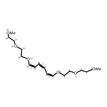 COCCOCCO\C=C/C=C\C=C/OCCOCCOC